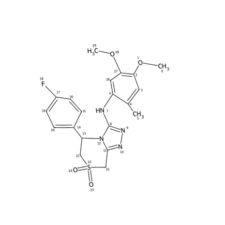 COc1cc(C)c(Nc2nnc3n2C(c2ccc(F)cc2)CS(=O)(=O)C3)cc1OC